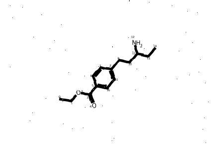 CCOC(=O)c1ccc(CCC(N)CC)cc1